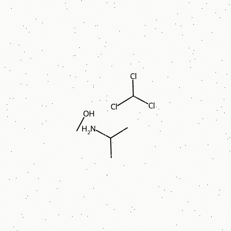 CC(C)N.CO.ClC(Cl)Cl